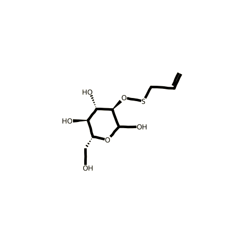 C=CCSO[C@H]1C(O)O[C@H](CO)[C@@H](O)[C@@H]1O